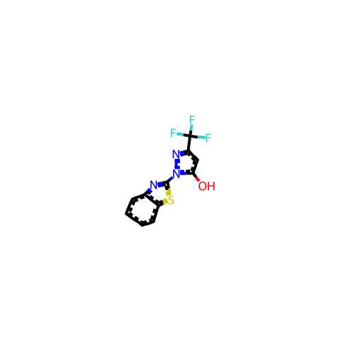 Oc1cc(C(F)(F)F)nn1-c1nc2ccccc2s1